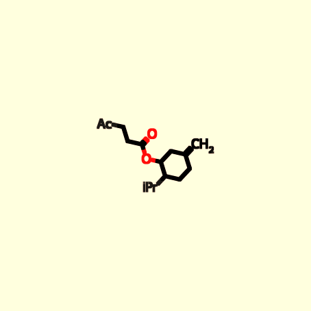 C=C1CCC(C(C)C)C(OC(=O)CCC(C)=O)C1